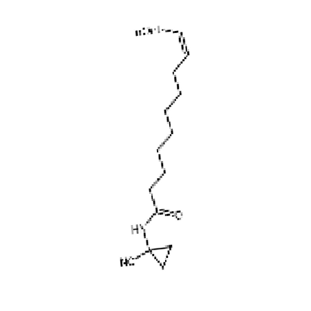 CCCCCCCC/C=C\CCCCCCCC(=O)NC1(C#N)CC1